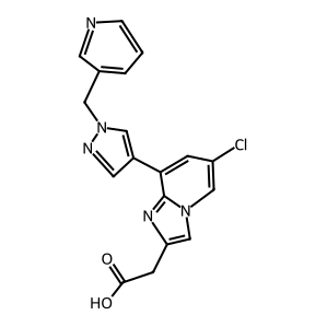 O=C(O)Cc1cn2cc(Cl)cc(-c3cnn(Cc4cccnc4)c3)c2n1